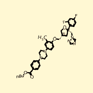 CCCCOC(=O)c1ccc(N2CCN(c3ccc(OC[C@@H]4CO[C@@](Cn5cncn5)(c5ccc(F)cc5F)C4)c(C)c3)CC2)cc1